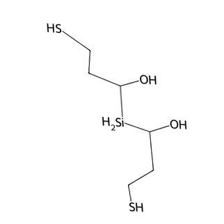 OC(CCS)[SiH2]C(O)CCS